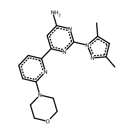 Cc1cc(C)n(-c2nc(N)cc(-c3cccc(N4CCOCC4)n3)n2)n1